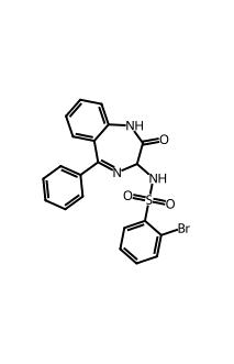 O=C1Nc2ccccc2C(c2ccccc2)=NC1NS(=O)(=O)c1ccccc1Br